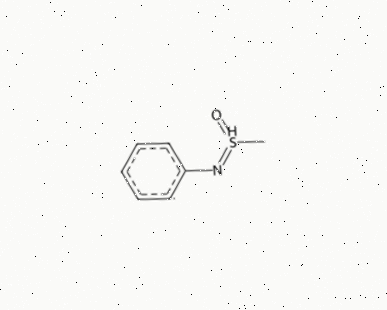 C/[SH](=O)=N/c1[c]cccc1